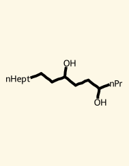 CCCCCCCCCC(O)CCC(O)CCC